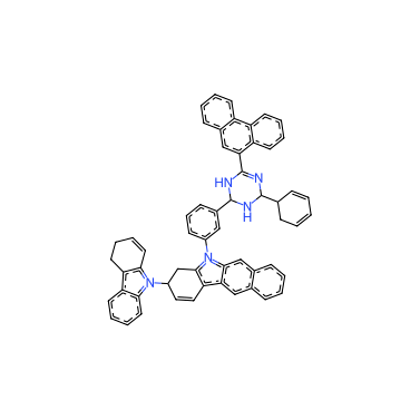 C1=CCC(C2N=C(c3cc4ccccc4c4ccccc34)NC(c3cccc(-n4c5c(c6cc7ccccc7cc64)C=CC(n4c6c(c7ccccc74)CCC=C6)C5)c3)N2)C=C1